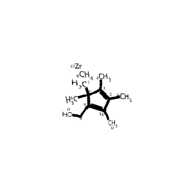 C.CC1=C(C)C(C)(C)C(CO)=C1C.[Zr]